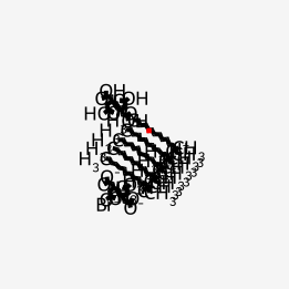 CCCCCCCCCCCC[N+](C)(C)C.CCCCCCCCCCCC[N+](C)(C)C.CCCCCCCCCCCC[N+](C)(C)C.CCCCCCCCCCCC[N+](C)(C)C.CCCCCCCCCCCC[N+](C)(C)C.O=C(O)CN(CCN(CC(=O)O)CC(=O)O)CC(=O)O.O=C([O-])CN(CCN(CC(=O)[O-])CC(=O)[O-])CC(=O)[O-].[Br-]